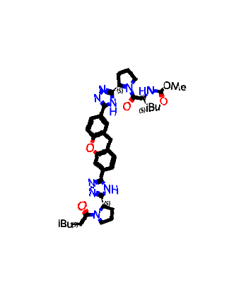 CC[C@H](C)CC(=O)N1CCC[C@H]1c1nnc(-c2ccc3c(c2)Oc2ccc(-c4nnc([C@@H]5CCCN5C(=O)[C@@H](NC(=O)OC)[C@@H](C)CC)[nH]4)cc2C3)[nH]1